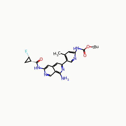 Cc1cc(NC(=O)OC(C)(C)C)ncc1-c1cc2cc(NC(=O)[C@@H]3C[C@@H]3F)ncc2c(N)n1